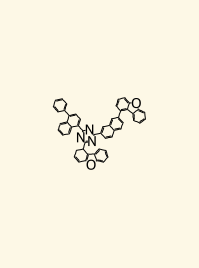 C1=Cc2oc3ccccc3c2C(c2nc(-c3ccc4ccc(-c5cccc6oc7ccccc7c56)cc4c3)nc(-c3ccc(-c4ccccc4)c4ccccc34)n2)C1